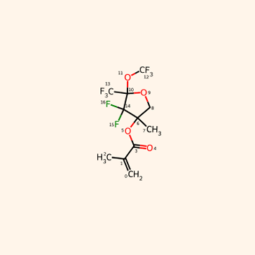 C=C(C)C(=O)OC1(C)COC(OC(F)(F)F)(C(F)(F)F)C1(F)F